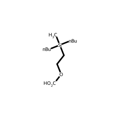 CCCC[Si](C)(CCCC)CCOC(=O)O